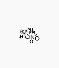 CN(Cc1cc2c(c(C(P)(P)P)c1)CN(c1ccccc1)C2=O)C1CC(C)(C)C1